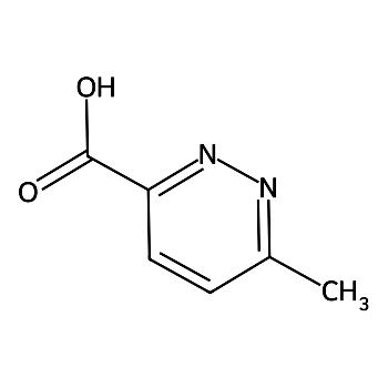 Cc1ccc(C(=O)O)nn1